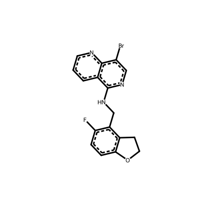 Fc1ccc2c(c1CNc1ncc(Br)c3ncccc13)CCO2